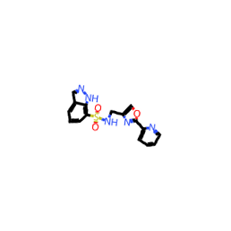 O=S(=O)(NCc1coc(-c2ccccn2)n1)c1cccc2cn[nH]c12